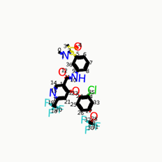 CN=S(C)(=O)c1cccc(NC(=O)c2cnc(C(F)(F)F)cc2Oc2ccc(OC(F)(F)F)cc2Cl)c1